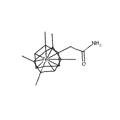 C[C]12[CH]3[CH]4[CH]5[C]1(CC(N)=O)[Fe]43521678[CH]2[C]1(C)[C]6(C)[C]7(C)[C]28C